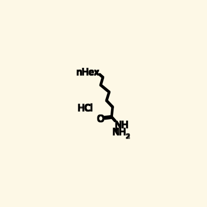 CCCCCCCCCCCC(=O)NN.Cl